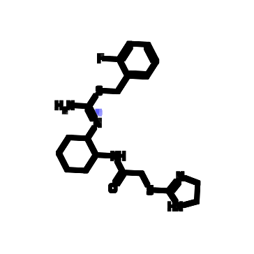 N/C(=N\C1CCCCC1NC(=O)CSC1=NCCN1)SCc1ccccc1F